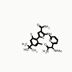 CC(=O)NC(C(N)=O)c1cccc(Nc2sc(-c3c(F)cc(C(C)(C)O)cc3F)cc2C(N)=O)n1